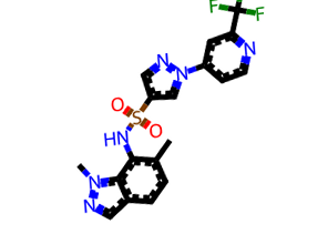 Cc1ccc2cnn(C)c2c1NS(=O)(=O)c1cnn(-c2ccnc(C(F)(F)F)c2)c1